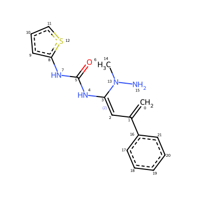 C=C(/C=C(/NC(=O)Nc1cccs1)N(C)N)c1ccccc1